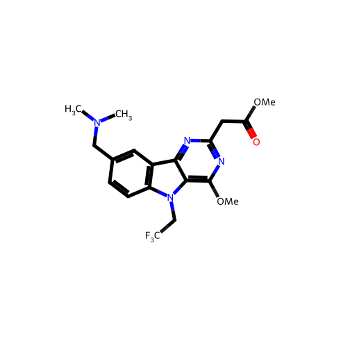 COC(=O)Cc1nc(OC)c2c(n1)c1cc(CN(C)C)ccc1n2CC(F)(F)F